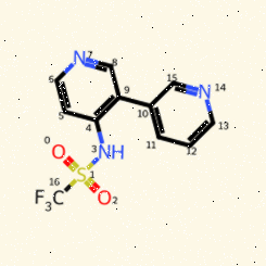 O=S(=O)(Nc1ccncc1-c1cccnc1)C(F)(F)F